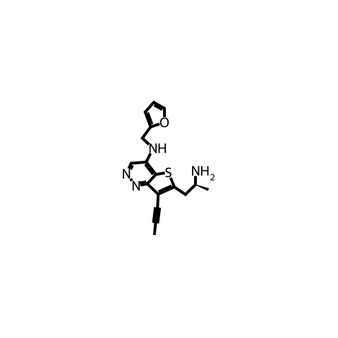 CC#Cc1c(C[C@H](C)N)sc2c(NCc3ccco3)cnnc12